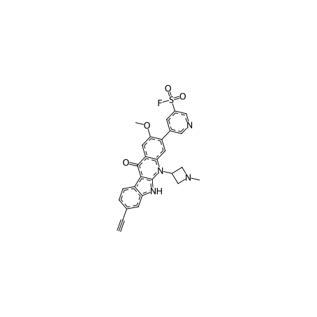 C#Cc1ccc2c(c1)[nH]c1c2c(=O)c2cc(OC)c(-c3cncc(S(=O)(=O)F)c3)cc2n1C1CN(C)C1